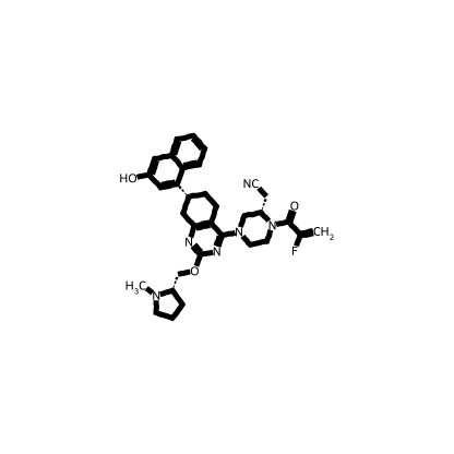 C=C(F)C(=O)N1CCN(c2nc(OC[C@@H]3CCCN3C)nc3c2CC[C@@H](c2cc(O)cc4ccccc24)C3)C[C@@H]1CC#N